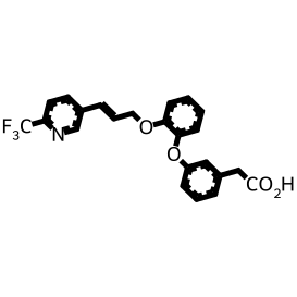 O=C(O)Cc1cccc(Oc2ccccc2OCC=Cc2ccc(C(F)(F)F)nc2)c1